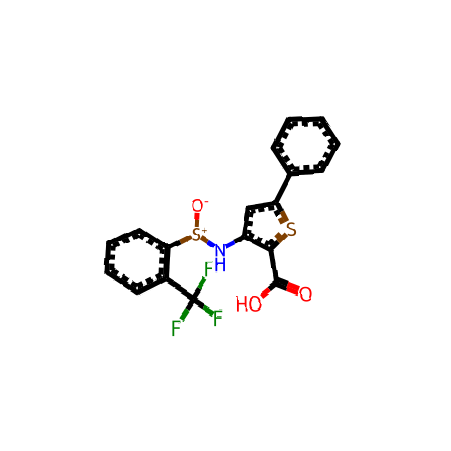 O=C(O)c1sc(-c2ccccc2)cc1N[S+]([O-])c1ccccc1C(F)(F)F